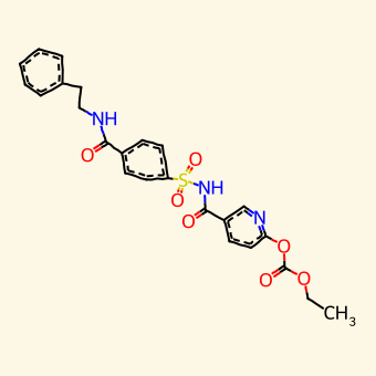 CCOC(=O)Oc1ccc(C(=O)NS(=O)(=O)c2ccc(C(=O)NCCc3ccccc3)cc2)cn1